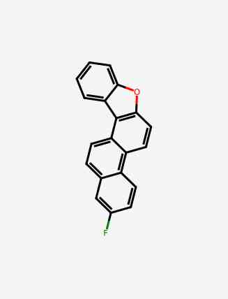 Fc1ccc2c(ccc3c2ccc2oc4ccccc4c23)c1